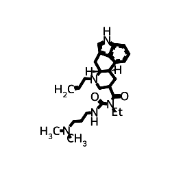 C=CCN1CC(C(=O)N(CC)C(=O)NCCCN(C)C)C[C@@H]2c3cccc4[nH]cc(c34)C[C@H]21